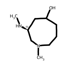 CN[C@H]1CC(O)CCCN(C)C1